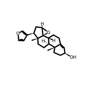 C[C@]12CC[C@H](O)C=C1CC[C@@H]1[C@@H]2CC[C@]2(C)[C@@H](c3ccoc3)C[C@H]3O[C@]132